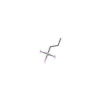 CCC[Si](I)(I)I